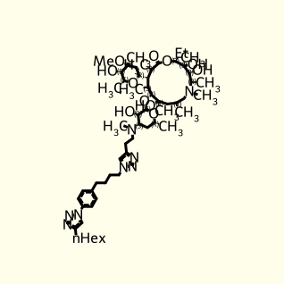 CCCCCCc1cn(-c2ccc(CCCCn3cc(CCN(C)[C@H]4C[C@@H](C)O[C@@H](O[C@@H]5[C@@H](C)C([C@H]6C[C@@](C)(OC)[C@@H](O)[C@H](C)O6)[C@@H](C)C(=O)O[C@H](CC)[C@@](C)(O)[C@H](O)[C@@H](C)N(C)C[C@H](C)C[C@@]5(C)O)[C@@H]4O)nn3)cc2)nn1